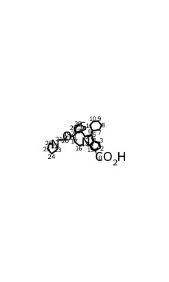 O=C(O)c1ccc2c(C3CCCCC3)c3n(c2c1)CCC(OCCN1CCCC1)c1ccsc1-3